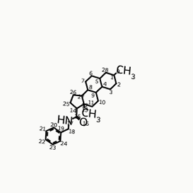 CC1CCC2C(CCC3C2CCC2(C)C(C(=O)NCc4ccccc4)CCC32)C1